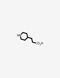 O=C(O)C[CH]C1CCNCC1